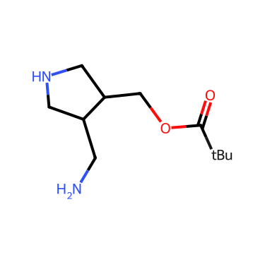 CC(C)(C)C(=O)OCC1CNCC1CN